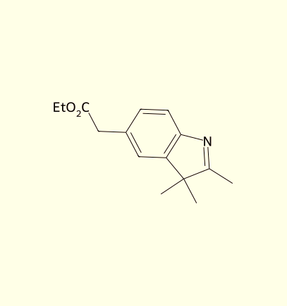 CCOC(=O)Cc1ccc2c(c1)C(C)(C)C(C)=N2